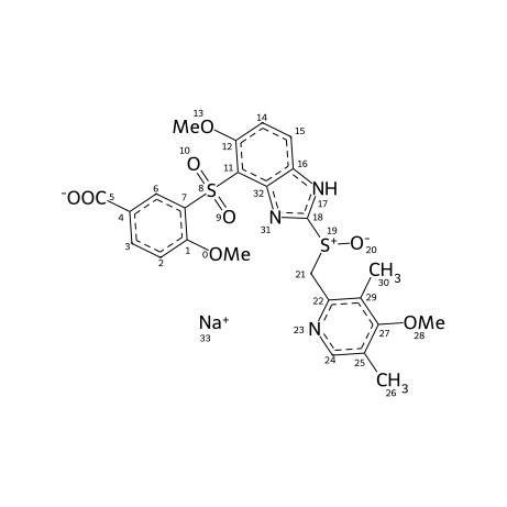 COc1ccc(C(=O)[O-])cc1S(=O)(=O)c1c(OC)ccc2[nH]c([S+]([O-])Cc3ncc(C)c(OC)c3C)nc12.[Na+]